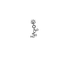 CN(C(=O)O)[C@H]1CC(=O)N(c2ccc(B3OC(C)(C)C(C)(C)O3)cc2)C1